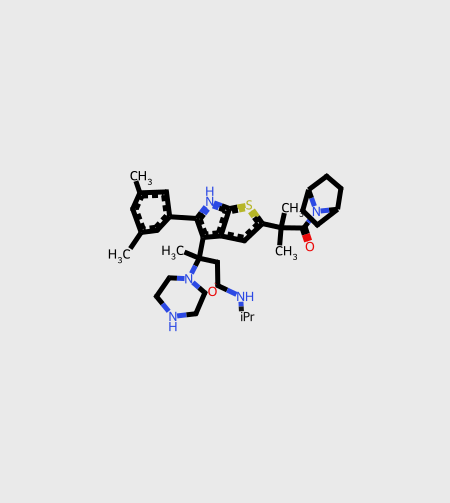 Cc1cc(C)cc(-c2[nH]c3sc(C(C)(C)C(=O)N4C5CCC4CC5)cc3c2C(C)(CC(=O)NC(C)C)N2CCNCC2)c1